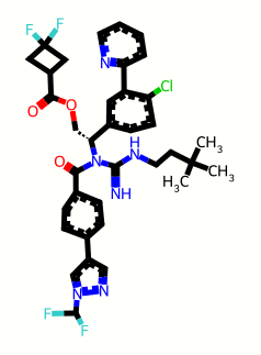 CC(C)(C)CCNC(=N)N(C(=O)c1ccc(-c2cnn(C(F)F)c2)cc1)[C@H](COC(=O)C1CC(F)(F)C1)c1ccc(Cl)c(-c2ccccn2)c1